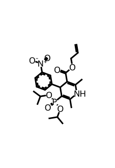 C=CCOC(=O)C1=C(C)NC(C)=C(P(=O)(OC(C)C)OC(C)C)C1c1cccc([N+](=O)[O-])c1